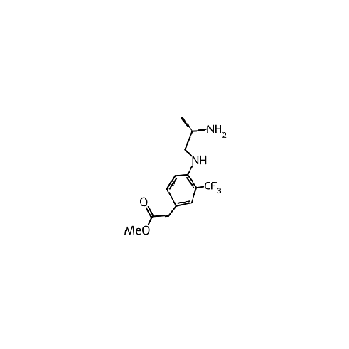 COC(=O)Cc1ccc(NC[C@@H](C)N)c(C(F)(F)F)c1